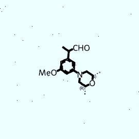 COc1cc(C(C)C=O)cc(N2C[C@@H](C)O[C@@H](C)C2)c1